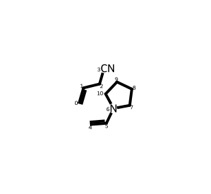 C=CCC#N.C=CN1CCCC1